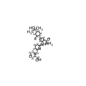 CC(C)(O)c1ccc(-c2cc(C(N)=O)c(Nc3cccc(CN4CCOCC4CO)n3)s2)c(F)c1